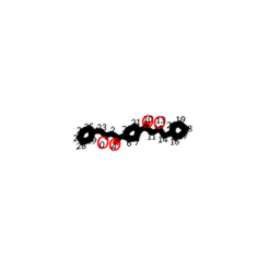 O=C(CC(=O)c1ccc(C(=O)CC(=O)Cc2ccccc2)cc1)Cc1ccccc1